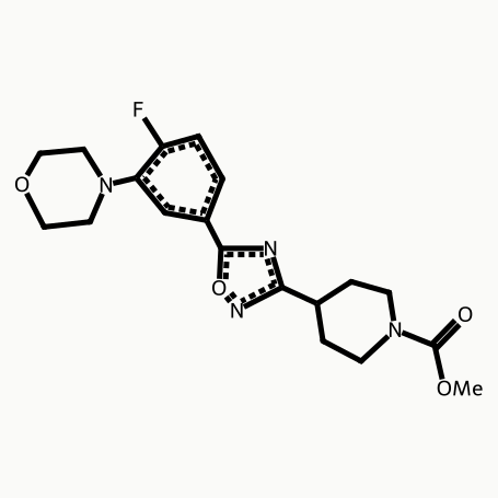 COC(=O)N1CCC(c2noc(-c3ccc(F)c(N4CCOCC4)c3)n2)CC1